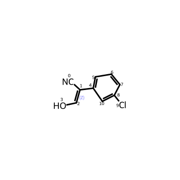 N#C/C(=C\O)c1cccc(Cl)c1